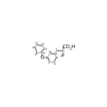 O=C(O)C(F)=Cc1cccc(Oc2ccccc2)c1